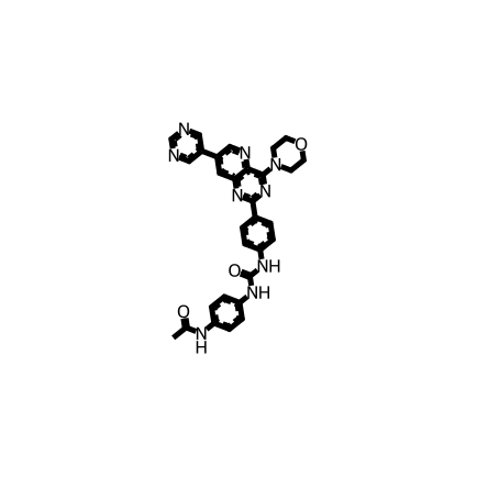 CC(=O)Nc1ccc(NC(=O)Nc2ccc(-c3nc(N4CCOCC4)c4ncc(-c5cncnc5)cc4n3)cc2)cc1